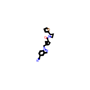 N#Cc1ccc2c(cnn2CC2CC3(C(=O)N4CCC4c4cccs4)CC2C3)c1